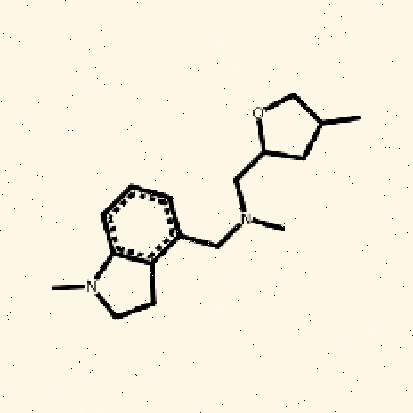 CC1COC(CN(C)Cc2cccc3c2CCN3C)C1